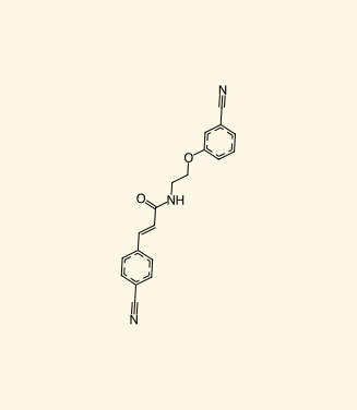 N#Cc1ccc(C=CC(=O)NCCOc2cccc(C#N)c2)cc1